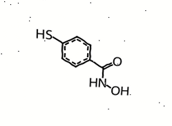 O=C(NO)c1ccc(S)cc1